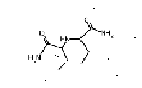 CCC(NC(CC)C(N)=O)C(N)=O